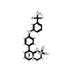 CC(F)(F)c1cccc(Oc2ccc(C34CCC(CC3)N3CCS(=O)(=O)N=C34)cc2)c1